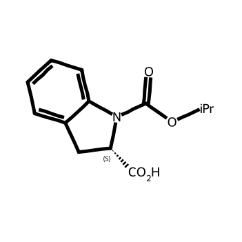 CC(C)OC(=O)N1c2ccccc2C[C@H]1C(=O)O